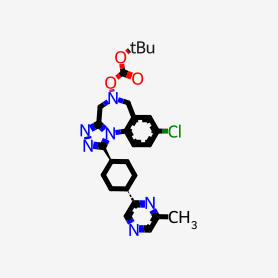 Cc1cncc([C@H]2CC[C@H](c3nnc4n3-c3ccc(Cl)cc3CN(OC(=O)OC(C)(C)C)C4)CC2)n1